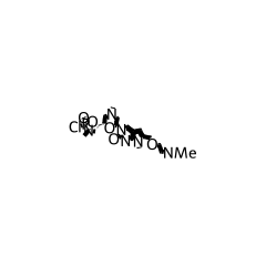 CNCCOCc1cc2cn(C3CN(C)C[C@@H](COP(=O)(Cl)N(C)C)O3)c(=O)nc2n1C